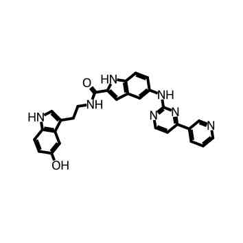 O=C(NCCc1c[nH]c2ccc(O)cc12)c1cc2cc(Nc3nccc(-c4cccnc4)n3)ccc2[nH]1